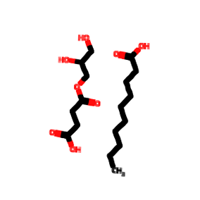 CCCCCCCCCC(=O)O.O=C(O)CCC(=O)OCC(O)CO